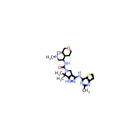 Cc1nc(Nc2n[nH]c3c2CN(C(=O)NC(CN(C)C)C2CCOCC2)C3(C)C)c2sccc2n1